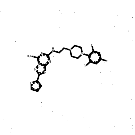 Nc1nc(NCCN2CCN(c3c(F)cc(F)cc3F)CC2)nc2nc(-c3ccco3)nn12